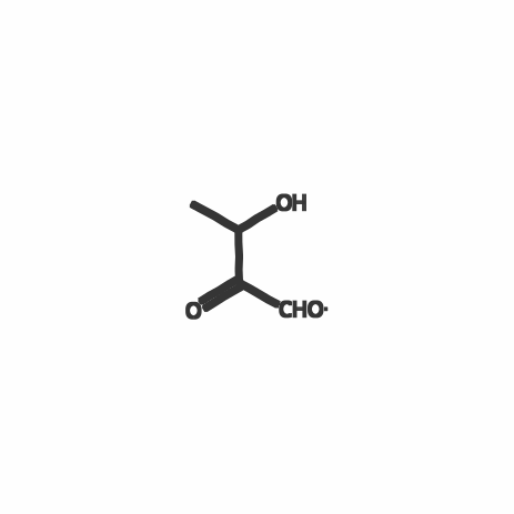 CC(O)C(=O)[C]=O